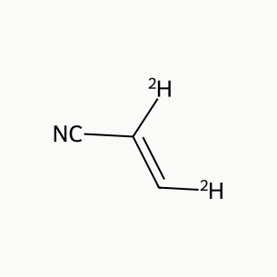 [2H]C=C([2H])C#N